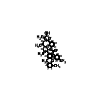 Cc1cccc(C)c1Oc1ccc(CN(C)C[C@H]2Oc3c(NC(=O)Cc4ccc(C(F)(F)F)cc4)cccc3C(=O)N([C@@H](C)CO)C[C@H]2C)cc1